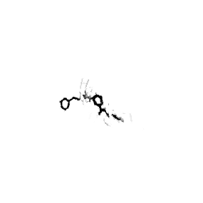 CCOC(=O)c1oc2ccc(S(=O)(=O)NCCC3CCCCC3)cc2c1C